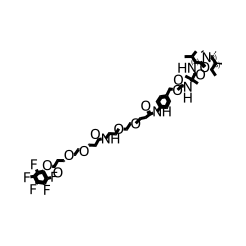 CC[C@H](C)[C@@H](C)N(C)C(=O)[C@@H](NC(=O)C(C)(C)NC(=O)OCc1ccc(NC(=O)CCOCCOCCNC(=O)CCOCCOCCC(=O)Oc2c(F)c(F)c(F)c(F)c2F)cc1)C(C)C